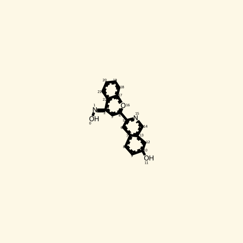 ON=c1cc(-c2cc3ccc(O)cc3cn2)oc2ccccc12